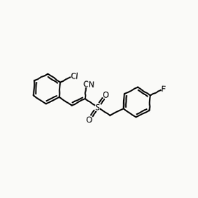 N#CC(=Cc1ccccc1Cl)S(=O)(=O)Cc1ccc(F)cc1